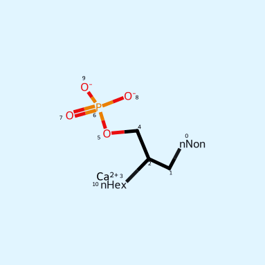 CCCCCCCCCCC(CCCCCC)COP(=O)([O-])[O-].[Ca+2]